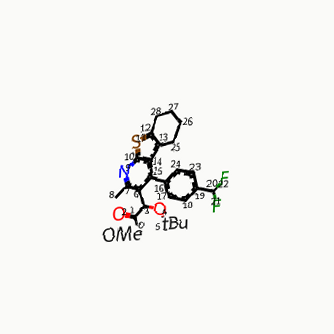 COC(=O)C(OC(C)(C)C)c1c(C)nc2sc3c(c2c1-c1ccc(C(F)F)cc1)CCCC3